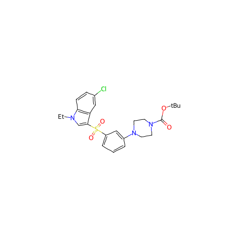 CCn1cc(S(=O)(=O)c2cccc(N3CCN(C(=O)OC(C)(C)C)CC3)c2)c2cc(Cl)ccc21